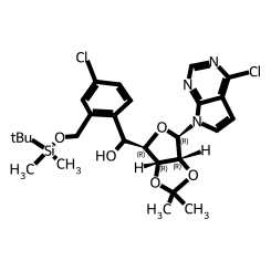 CC1(C)O[C@@H]2[C@H](O1)[C@@H](C(O)c1ccc(Cl)cc1CO[Si](C)(C)C(C)(C)C)O[C@H]2n1ccc2c(Cl)ncnc21